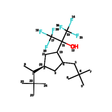 CC([C@@H]1CC(CC(C)(C)C)C(C(O)(C(F)(F)F)C(F)(F)F)C1)C(C)(C)C